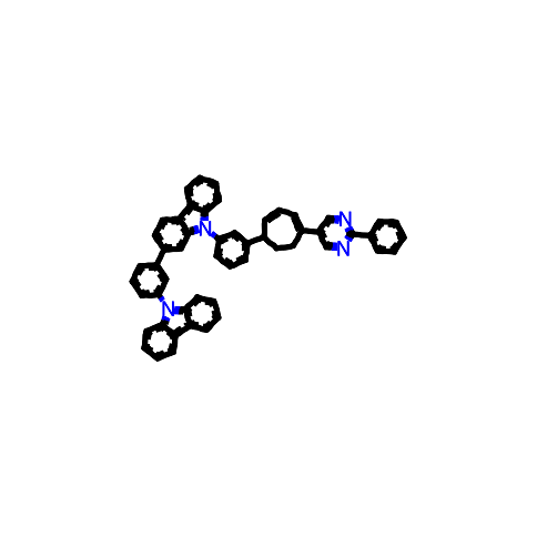 C1=CC(c2cccc(-n3c4ccccc4c4ccc(-c5cccc(-n6c7ccccc7c7ccccc76)c5)cc43)c2)CCC(c2cnc(-c3ccccc3)nc2)=C1